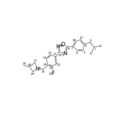 CC(C)Cc1ccc(-c2nc(-c3ccc(CN4CC(C)C4)c(F)c3)no2)cc1